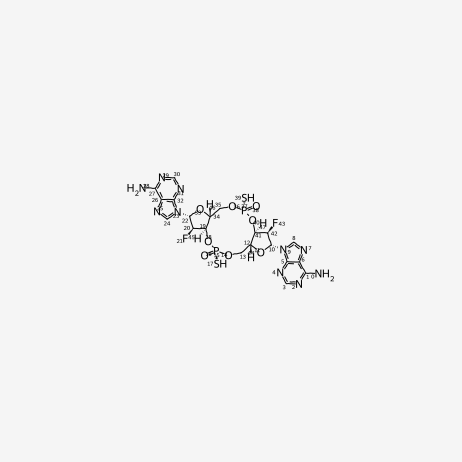 Nc1ncnc2c1ncn2[C@@H]1O[C@@H]2CO[P@@](=O)(S)O[C@H]3[C@@H](F)[C@H](n4cnc5c(N)ncnc54)O[C@@H]3CO[P@](=O)(S)O[C@H]2[C@H]1F